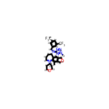 Cc1c2c(cc3c1N(C1CCOCC1)CCC[C@@H]3N(Cc1cc(C(F)(F)F)cc(C(F)(F)F)c1)c1nnn(C)n1)COC2